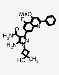 COc1cc(-c2ccccc2)nc2cc(-c3nn(C4CC(C)(O)C4)c(N)c3C(N)=O)cc(F)c12